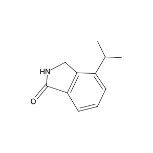 CC(C)c1cccc2c1CNC2=O